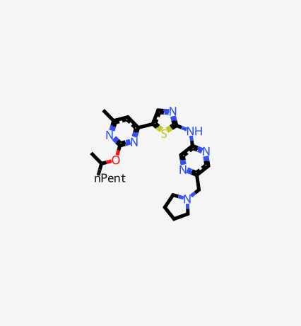 CCCCCC(C)Oc1nc(C)cc(-c2cnc(Nc3cnc(CN4CCCC4)cn3)s2)n1